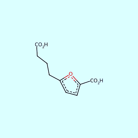 O=C(O)CCCc1ccc(C(=O)O)o1